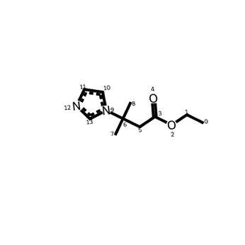 CCOC(=O)CC(C)(C)n1ccnc1